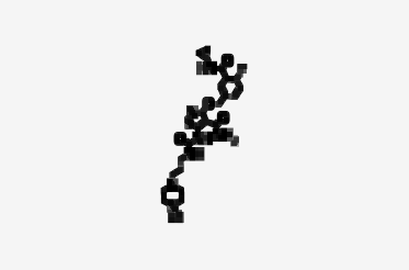 CCN1CCN(CCCNC(=O)Nc2snc(OCc3ccc(F)c(C(=O)NC4CC4)c3)c2C(N)=O)CC1